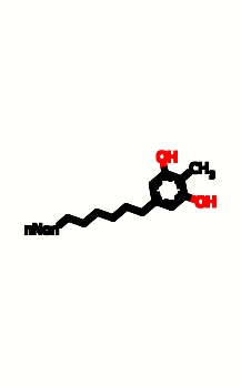 CCCCCCCCCCCCCCCc1cc(O)c(C)c(O)c1